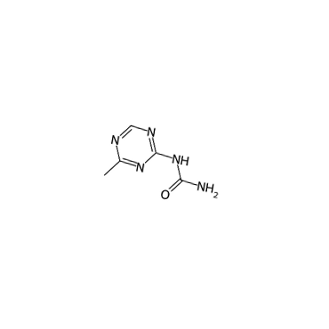 Cc1ncnc(NC(N)=O)n1